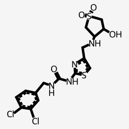 O=C(NCc1ccc(Cl)c(Cl)c1)Nc1nc(CNC2CS(=O)(=O)CC2O)cs1